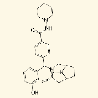 C=CCN1C2CCC1CN(C(c1ccc(C(=O)NN3CCCCC3)cc1)c1cccc(O)c1)CC2